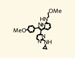 COCCNc1cccc2c(-c3ccnc(NC4CC4)n3)c(-c3ccc(OC)cc3)nn12